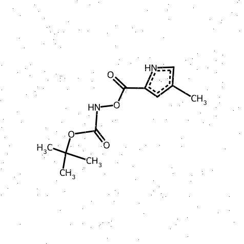 Cc1c[nH]c(C(=O)ONC(=O)OC(C)(C)C)c1